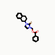 O=C(OCn1ccn(C2CCc3ccccc3C2)c1=S)c1ccccc1